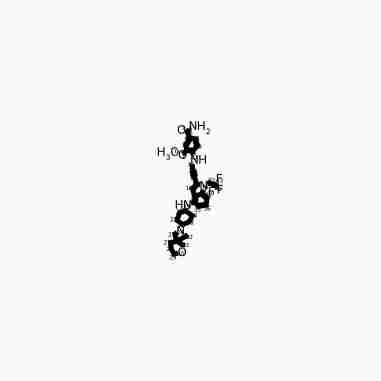 COc1cc(C(N)=O)ccc1NCC#Cc1cc2c(N[C@H]3CC[C@@H](N4CC5(CCCOC5)C4)CC3)cccc2n1CC(F)(F)F